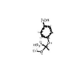 CCCCCCCCc1ccc(OC(C)(OCC)S(=O)(=O)O)cc1